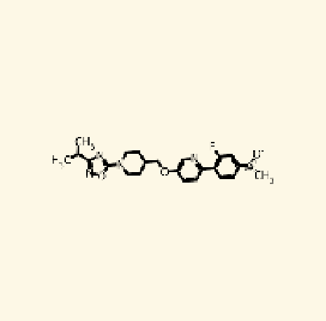 CC(C)c1noc(N2CCC(COc3ccc(-c4ccc([S@+](C)[O-])cc4F)nc3)CC2)n1